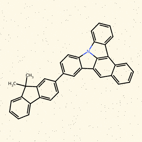 CC1(C)c2ccccc2-c2ccc(-c3ccc4c(c3)c3cc5ccccc5c5c6ccccc6n4c35)cc21